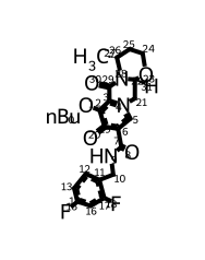 CCCCOc1c2n(cc(C(=O)NCc3ccc(F)cc3F)c1=O)C[C@H]1OCC[C@@H](C)N1C2=O